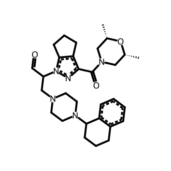 C[C@@H]1CN(C(=O)c2nn(C(C=O)CN3CCN(C4CCCc5ccccc54)CC3)c3c2CCC3)C[C@H](C)O1